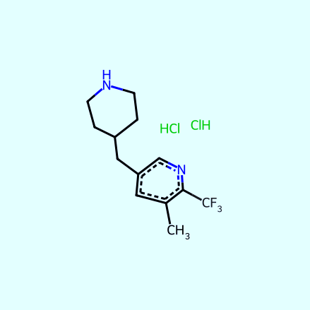 Cc1cc(CC2CCNCC2)cnc1C(F)(F)F.Cl.Cl